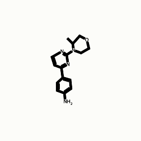 CC1COCCN1c1nccc(-c2ccc(N)cc2)n1